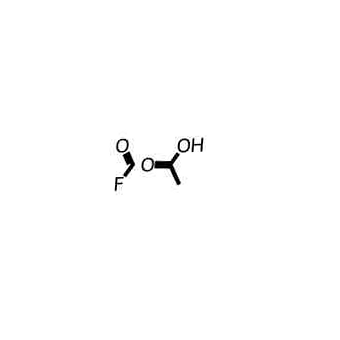 CC(=O)O.O=CF